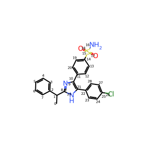 CC(c1ccccc1)c1nc(-c2ccc(S(N)(=O)=O)cc2)c(-c2ccc(Cl)cc2)[nH]1